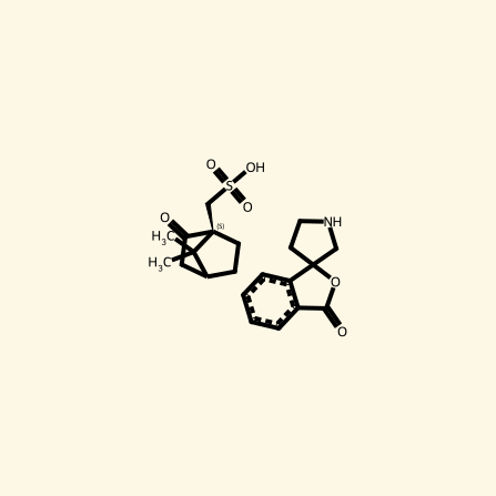 CC1(C)C2CC[C@@]1(CS(=O)(=O)O)C(=O)C2.O=C1OC2(CCNC2)c2ccccc21